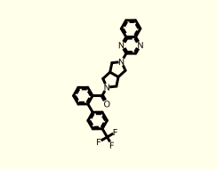 O=C(c1ccccc1-c1ccc(C(F)(F)F)cc1)N1CC2CN(c3cnc4ccccc4n3)CC2C1